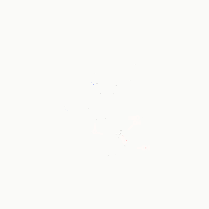 Cc1c(N)c2c3c(CC(O)CO)c(cc2n1Cc1ccccc1)C(=O)C(=O)C(C(=O)O)O3